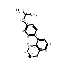 CC(C)Oc1ccc(-c2cccc3c2OSNC3)cc1